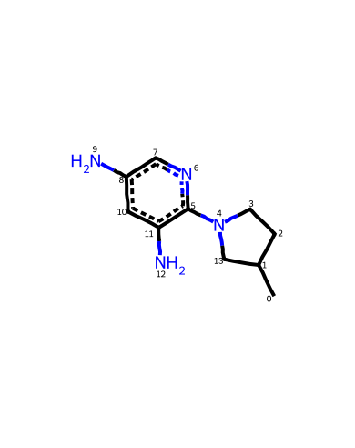 CC1CCN(c2ncc(N)cc2N)C1